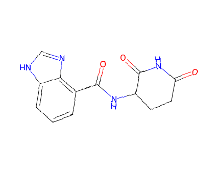 O=C1CCC(NC(=O)c2cccc3[nH]cnc23)C(=O)N1